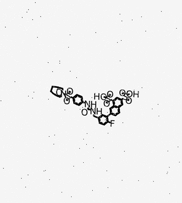 O=C(NCc1ccc(F)c(-c2ccc3cc(S(=O)(=O)O)cc(S(=O)(=O)O)c3c2)c1)Nc1ccc(S(=O)(=O)N2CC3CCC(C2)O3)cc1